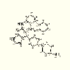 Nc1c(Nc2nc(-c3ccc(N4CCC(N)CC4)nc3)c3nc[nH]c3n2)cccc1-c1ccccc1